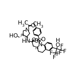 CC(=O)N1C[C@@H](CO)[C@H](NC(=O)C[C@@H]2CCc3cc(C(O)(C(F)(F)F)C(F)(F)F)ccc3N2S(=O)(=O)c2ccc(C)cc2)C1